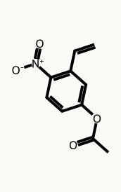 C=Cc1cc(OC(C)=O)ccc1[N+](=O)[O-]